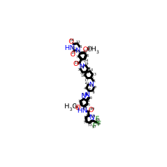 COc1cc2nn(C3CCN(CC4CCC5(CC4)CCN(C(=O)c4ccc(OC)c(N6CCC(=O)NC6=O)c4)CC5)CC3)cc2cc1NC(=O)c1cccc(C(F)(F)F)n1